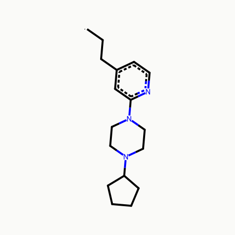 [CH2]CCc1ccnc(N2CCN(C3CCCC3)CC2)c1